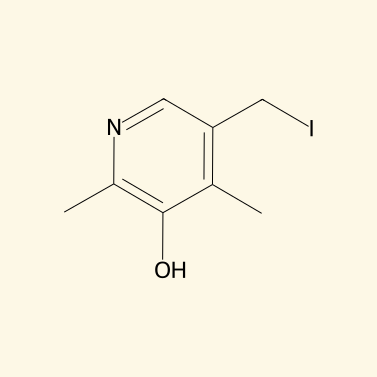 Cc1ncc(CI)c(C)c1O